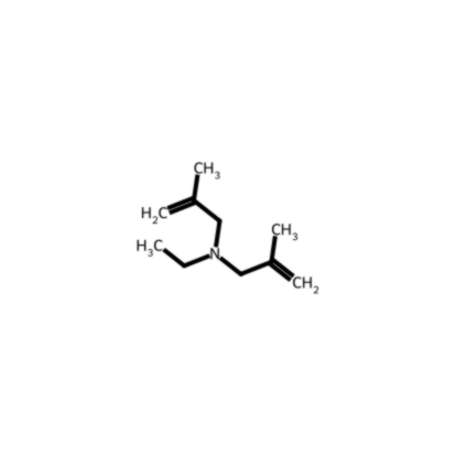 C=C(C)CN(CC)CC(=C)C